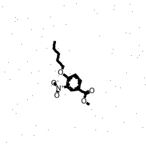 CCCCCOc1ccc(C(=O)OC)cc1[N+](=O)[O-]